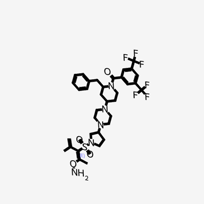 C=C(C)/C(=C(/C)ON)S(=O)(=O)N1CCC(N2CCN(C3CCN(C(=O)c4cc(C(F)(F)F)cc(C(F)(F)F)c4)C(Cc4ccccc4)C3)CC2)C1